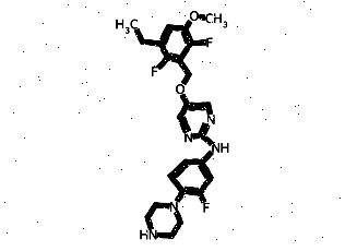 CCc1cc(OC)c(F)c(COc2cnc(Nc3ccc(N4CCNCC4)c(F)c3)nc2)c1F